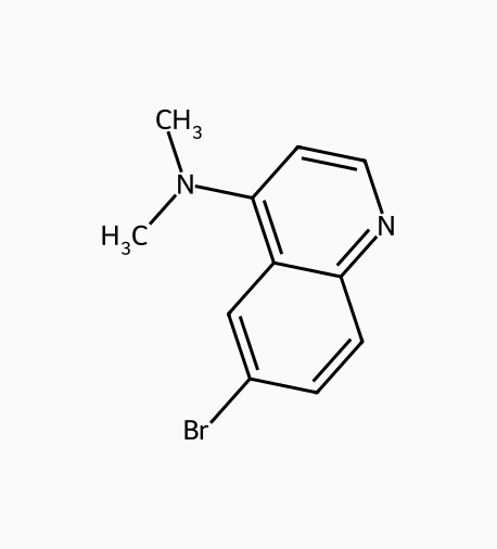 CN(C)c1ccnc2ccc(Br)cc12